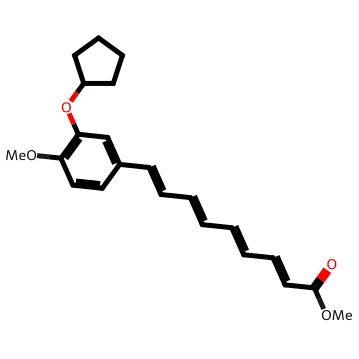 COC(=O)C=CC=CC=CC=Cc1ccc(OC)c(OC2CCCC2)c1